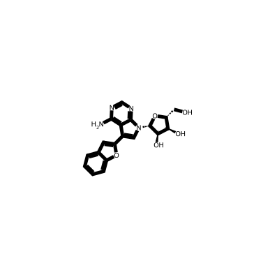 Nc1ncnc2c1c(-c1cc3ccccc3o1)cn2[C@@H]1O[C@H](CO)[C@@H](O)[C@H]1O